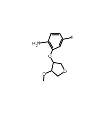 COC1COCC1Oc1cc(F)ccc1N